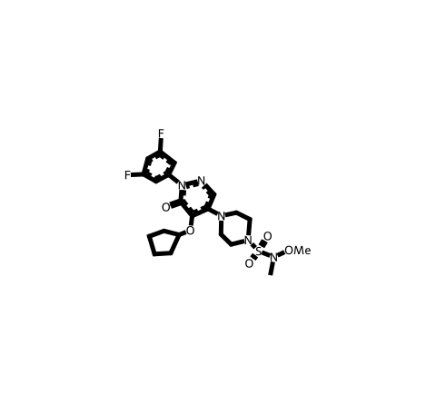 CON(C)S(=O)(=O)N1CCN(c2cnn(-c3cc(F)cc(F)c3)c(=O)c2OC2CCCC2)CC1